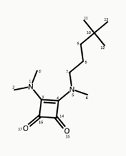 CN(C)c1c(N(C)CCCC(C)(C)C)c(=O)c1=O